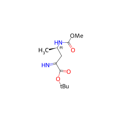 COC(=O)N[C@H](C)CC(=N)C(=O)OC(C)(C)C